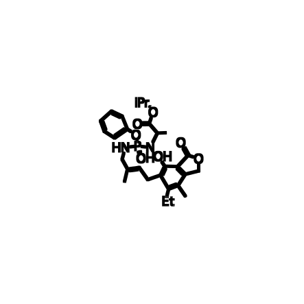 CCc1c(C)c2c(c(O)c1C/C=C(\C)CNP(=O)(NC(C)C(=O)OC(C)C)Oc1ccccc1)C(=O)OC2